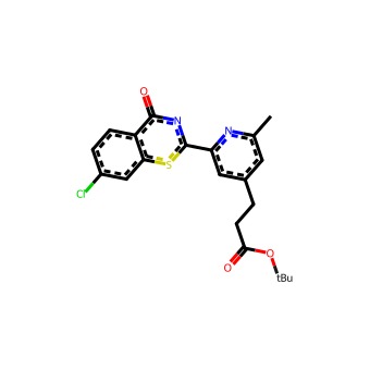 Cc1cc(CCC(=O)OC(C)(C)C)cc(-c2nc(=O)c3ccc(Cl)cc3s2)n1